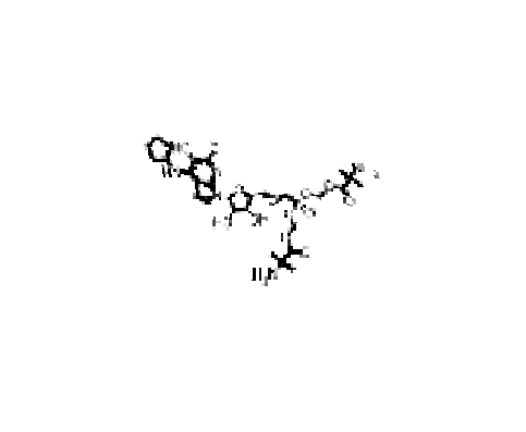 CC(C)(N)C(=O)OCOP(=O)(COC[C@H]1O[C@@H](n2ccc3c(NC4CCCC4)c(C#N)c(Cl)nc32)[C@H](O)[C@@H]1O)OCOC(=O)C(C)(C)N